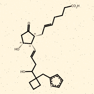 O=C(O)CCCC=CC[C@H]1C(=O)C[C@@H](O)[C@H]1C=CCC(O)C1(Cc2cccs2)CCC1